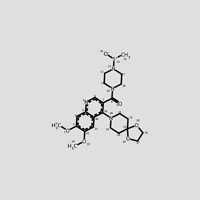 COc1cc2ncc(C(=O)N3CCN([S+](C)[O-])CC3)c(N3CCC4(CC3)OCCO4)c2cc1OC